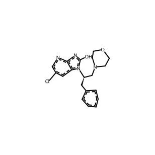 Oc1nc2ncc(Cl)cc2n1[C@H](Cc1ccccc1)CN1CCOCC1